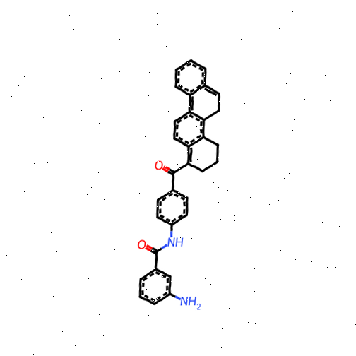 Nc1cccc(C(=O)Nc2ccc(C(=O)C3=c4ccc5c(c4CCC3)CC=c3ccccc3=5)cc2)c1